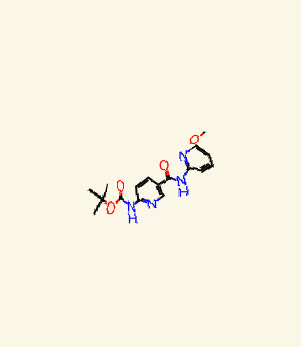 COc1cccc(NC(=O)c2ccc(NC(=O)OC(C)(C)C)nc2)n1